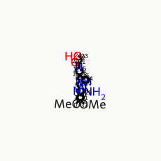 COc1cc2nc(CNCC3(c4ccccc4)CCN(C(=O)C[C@@H](C)O)CC3)nc(N)c2cc1OC